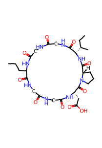 CCCC1NC(=O)CNC(=O)CNC(=O)[C@H](C(C)CC)NC(=O)[C@@H]2CCCN2C(=O)[C@H](CC(=O)O)NC(=O)CNC(=O)CNC1=O